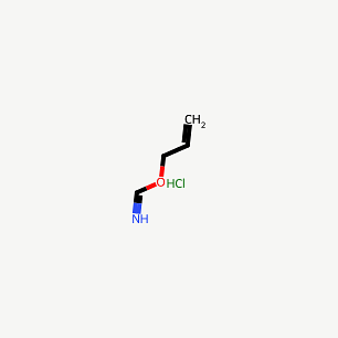 C=CCOC=N.Cl